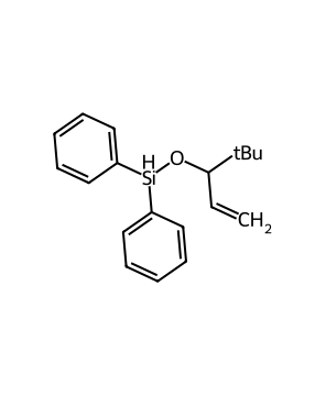 C=CC(O[SiH](c1ccccc1)c1ccccc1)C(C)(C)C